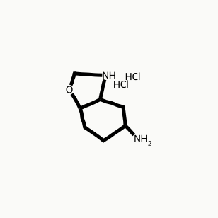 Cl.Cl.NC1CCC2OCNC2C1